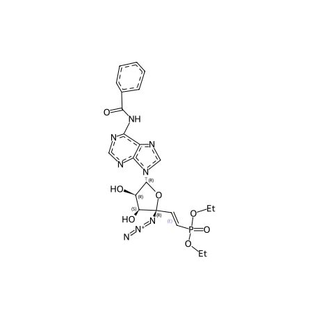 CCOP(=O)(/C=C/[C@@]1(N=[N+]=[N-])O[C@@H](n2cnc3c(NC(=O)c4ccccc4)ncnc32)[C@H](O)[C@@H]1O)OCC